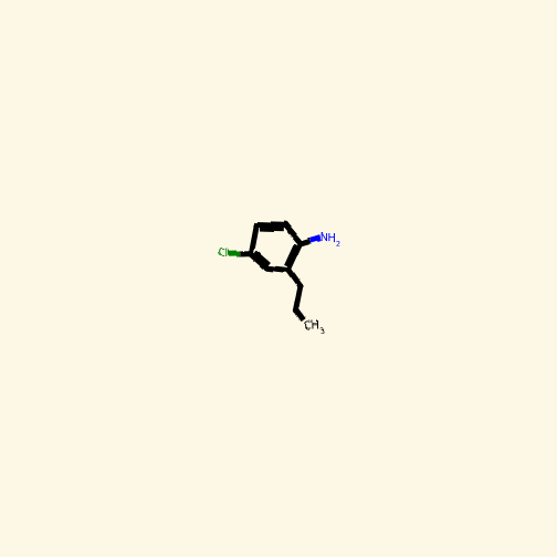 CCCc1cc(Cl)ccc1N